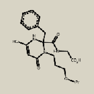 CC(C)OCCCN1C(=O)C=C(O)NC1(Cc1ccccc1)C(=O)NCC(=O)O